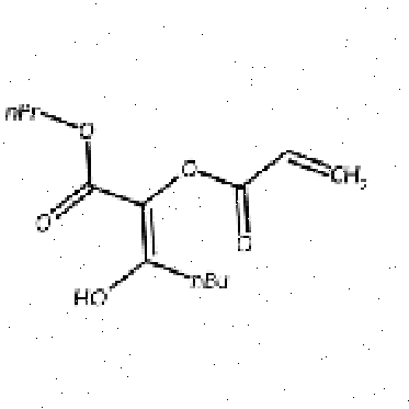 C=CC(=O)OC(C(=O)OCCC)=C(O)CCCC